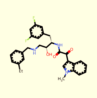 CCc1cccc(CNC[C@@H](O)[C@H](Cc2cc(F)cc(F)c2)NC(=O)C(=O)c2cn(C)c3ccccc23)c1